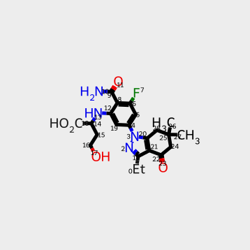 CCc1nn(-c2cc(F)c(C(N)=O)c(NC(CCO)C(=O)O)c2)c2c1C(=O)CC(C)(C)C2